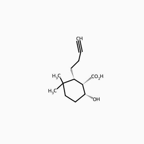 C#CCC[C@@H]1[C@H](C(=O)O)[C@H](O)CCC1(C)C